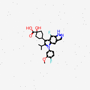 COc1cc(-n2c(C(C)C)c(C3CCC(O)(C(=O)O)CC3)c3c(F)c4[nH]ncc4cc32)ccc1F